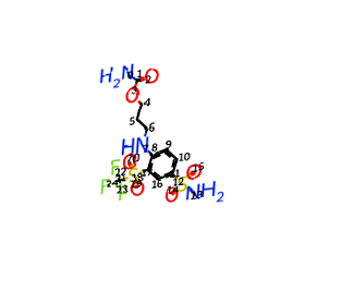 NC(=O)OCCCNc1ccc(S(N)(=O)=O)cc1S(=O)(=O)C(F)(F)F